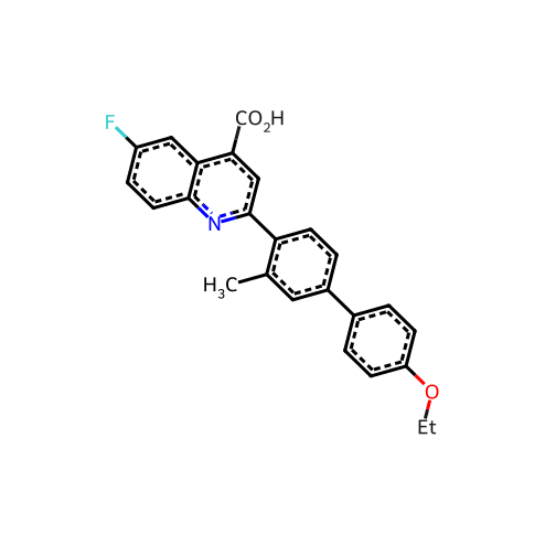 CCOc1ccc(-c2ccc(-c3cc(C(=O)O)c4cc(F)ccc4n3)c(C)c2)cc1